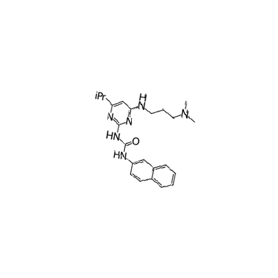 CC(C)c1cc(NCCCN(C)C)nc(NC(=O)Nc2ccc3ccccc3c2)n1